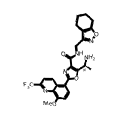 COc1ccc(-c2nc(C(=O)NCc3noc4c3CCCC4)c([C@H](C)N)o2)c2ccc(C(F)(F)F)nc12